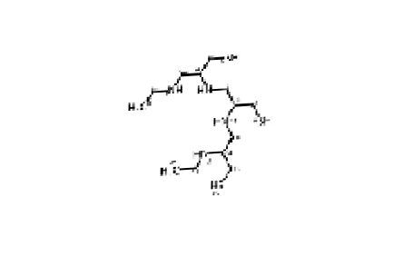 CCNC[C@@H](CS)NC[C@@H](CS)NC[C@@H](CS)NCC